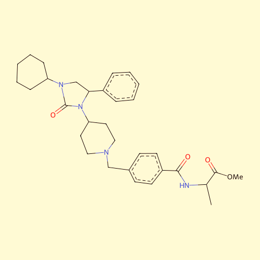 COC(=O)C(C)NC(=O)c1ccc(CN2CCC(N3C(=O)N(C4CCCCC4)CC3c3ccccc3)CC2)cc1